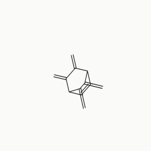 C=C1C(=C)C2[C]=[C]C1C(=C)C2=C